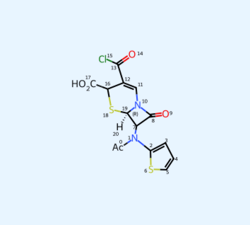 CC(=O)N(c1cccs1)C1C(=O)N2C=C(C(=O)Cl)C(C(=O)O)S[C@H]12